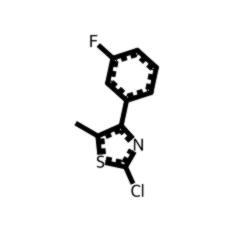 Cc1sc(Cl)nc1-c1cccc(F)c1